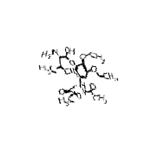 CC(C)[C@H](N)C(=O)O.CCOc1cc([C@@H](CS(C)(=O)=O)NC(C)=O)ccc1OC